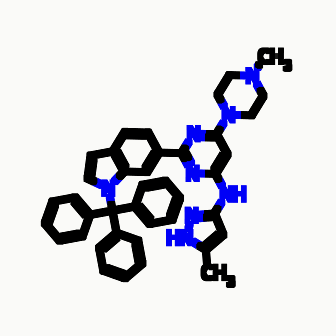 Cc1cc(Nc2cc(N3CCN(C)CC3)nc(-c3ccc4ccn(C(c5ccccc5)(c5ccccc5)c5ccccc5)c4c3)n2)n[nH]1